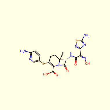 Nc1ccc(SC2=C(C(=O)O)N3C(=O)[C@@H](NC(=O)/C(=N\O)c4nsc(N)n4)[C@H]3CC2)cn1